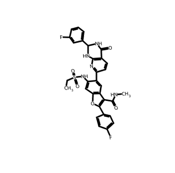 CCS(=O)(=O)Nc1cc2oc(-c3ccc(F)cc3)c(C(=O)NC)c2cc1-c1ccc2c(n1)NC(c1cccc(F)c1)NC2=O